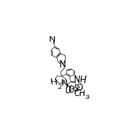 CS(=O)(=O)c1[nH]c2cccc(C3(CCN4CCc5cc(C#N)ccc5C4)CCCCC3)c2c1C(N)=O